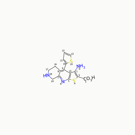 Nc1c(C(=O)O)sc2nc3c(c(-c4cccs4)c12)CCNC3